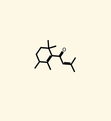 CC(C)=CC(=O)C1=C(C)C(C)CCC1(C)C